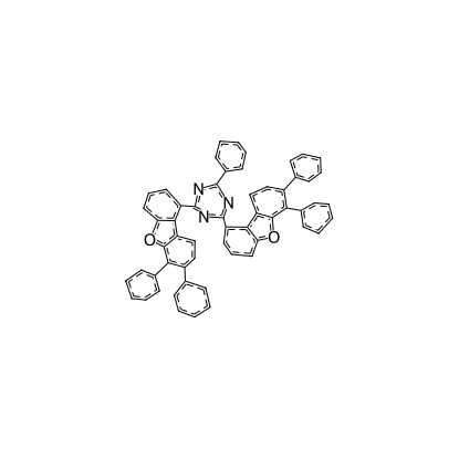 c1ccc(-c2nc(-c3cccc4oc5c(-c6ccccc6)c(-c6ccccc6)ccc5c34)nc(-c3cccc4oc5c(-c6ccccc6)c(-c6ccccc6)ccc5c34)n2)cc1